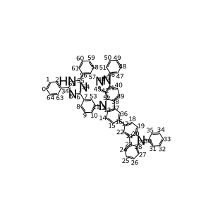 c1ccc(C2=NC(c3cccc(-n4c5ccc(-c6ccc7c(c6)c6ccccc6n7-c6ccccc6)cc5c5ccc6c(cnn6-c6ccccc6)c54)c3)=NC(c3ccccc3)N2)cc1